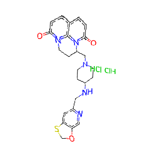 Cl.Cl.O=c1ccc2ccc(=O)n3c2n1CCC3CN1CCC(NCc2cc3c(cn2)OCS3)CC1